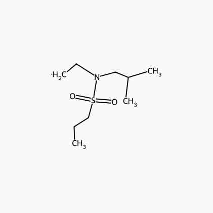 [CH2]CN(CC(C)C)S(=O)(=O)CCC